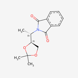 C[C@@H]([C@H]1COC(C)(C)O1)N1C(=O)c2ccccc2C1=O